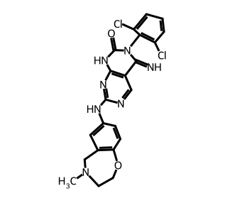 CN1CCOc2ccc(Nc3ncc4c(=N)n(-c5c(Cl)cccc5Cl)c(=O)[nH]c4n3)cc2C1